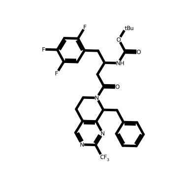 CC(C)(C)OC(=O)NC(CC(=O)N1CCc2cnc(C(F)(F)F)nc2C1Cc1ccccc1)Cc1cc(F)c(F)cc1F